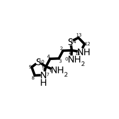 NC1(CCCC2(N)NCCS2)NCCS1